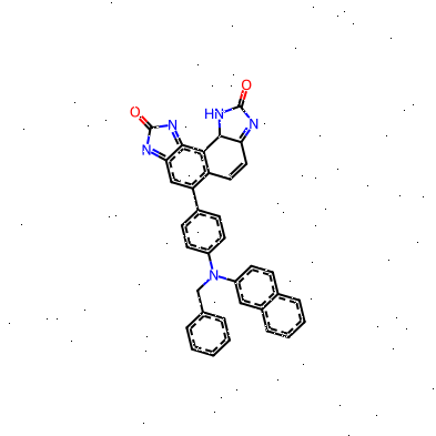 O=C1N=c2cc(-c3ccc(N(Cc4ccccc4)c4ccc5ccccc5c4)cc3)c3c(c2=N1)C1NC(=O)N=C1C=C3